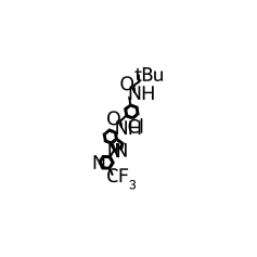 CC(C)(C)CC(=O)NCc1ccc(Cl)c(C(=O)Nc2cccc3c2cnn3-c2cncc(C(F)(F)F)c2)c1